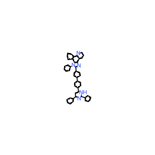 C1=C(c2ccc(-c3ccc(-c4nc5c6cccnc6c6ccccc6c5n4-c4ccccc4)cc3)cc2)NC(c2ccccc2)N=C1c1ccccc1